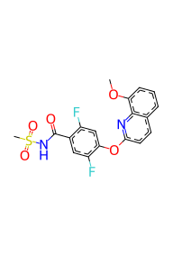 COc1cccc2ccc(Oc3cc(F)c(C(=O)NS(C)(=O)=O)cc3F)nc12